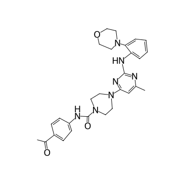 CC(=O)c1ccc(NC(=O)N2CCN(c3cc(C)nc(Nc4ccccc4N4CCOCC4)n3)CC2)cc1